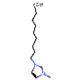 CCCCCCCCCCCCCCCCN1C=CN(C)C1